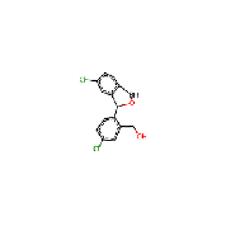 OCc1cc(Cl)ccc1C1OBc2ccc(Cl)cc21